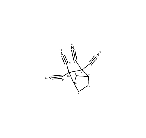 N#CC1(C#N)C2CCC(C2)C1(C#N)C#N